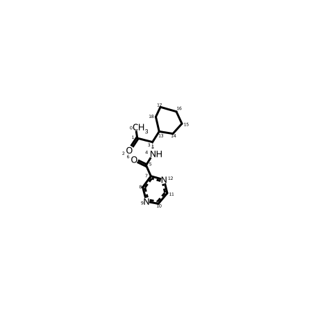 CC(=O)[C@@H](NC(=O)c1cnccn1)C1CCCCC1